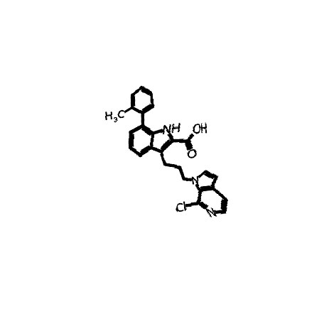 Cc1ccccc1-c1cccc2c(CCCn3ccc4ccnc(Cl)c43)c(C(=O)O)[nH]c12